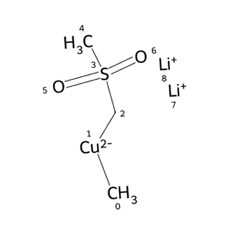 [CH3][Cu-2][CH2]S(C)(=O)=O.[Li+].[Li+]